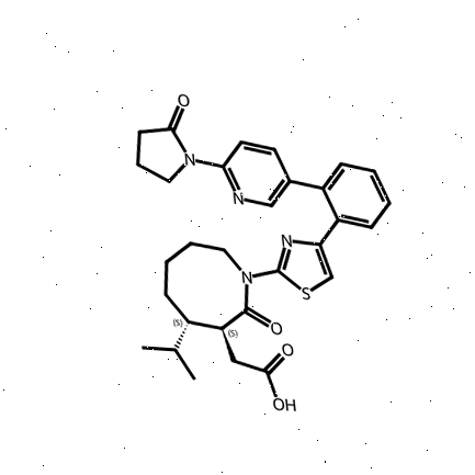 CC(C)[C@@H]1CCCCN(c2nc(-c3ccccc3-c3ccc(N4CCCC4=O)nc3)cs2)C(=O)[C@H]1CC(=O)O